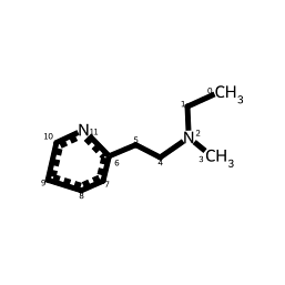 CCN(C)CCc1ccccn1